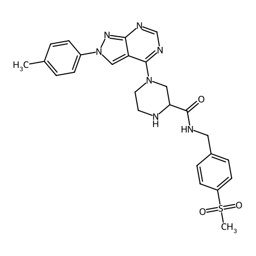 Cc1ccc(-n2cc3c(N4CCNC(C(=O)NCc5ccc(S(C)(=O)=O)cc5)C4)ncnc3n2)cc1